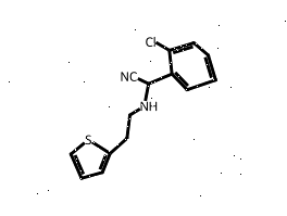 N#CC(NCCc1cccs1)c1ccccc1Cl